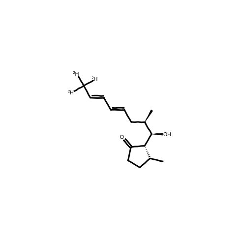 [2H]C([2H])([2H])C=CC=CC[C@@H](C)[C@@H](O)[C@H]1C(=O)CCC1C